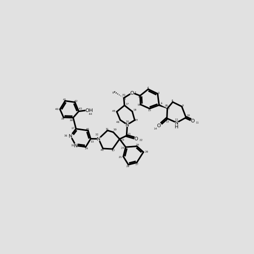 C[C@H](Oc1ccc([C@H]2CCC(=O)NC2=O)cc1)C1CCN(C(=O)C2(c3ccccc3)CCN(c3cnnc(-c4ccccc4O)c3)CC2)CC1